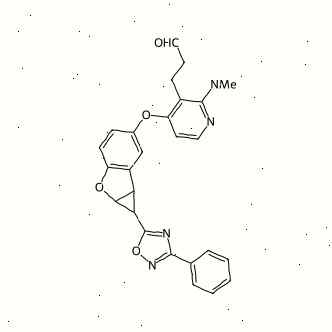 CNc1nccc(Oc2ccc3c(c2)C2C(O3)C2c2nc(-c3ccccc3)no2)c1CCC=O